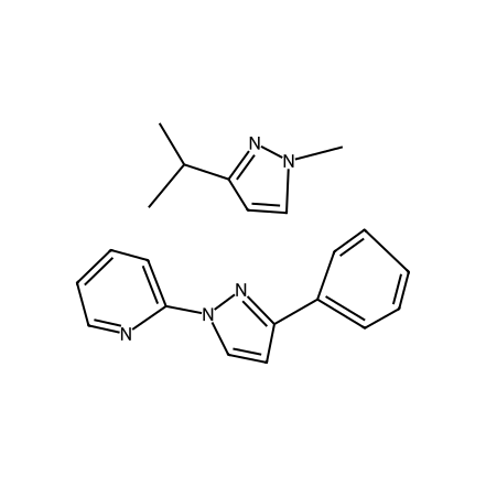 CC(C)c1ccn(C)n1.c1ccc(-c2ccn(-c3ccccn3)n2)cc1